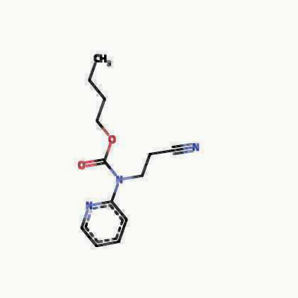 CCCCOC(=O)N(CCC#N)c1ccccn1